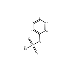 CCS(=O)(=O)Cc1ccccc1